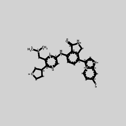 CN(C)Cc1nc(Nc2ccc(-c3cnc4cc(F)ccn34)c3c2C(=O)NC3)cnc1C1CCOC1